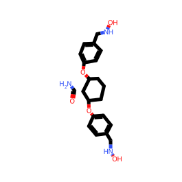 NC=O.ONCc1ccc(OC2CCCC(Oc3ccc(CNO)cc3)C2)cc1